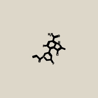 C=CC(=O)N1CC(c2c(F)cc(C(N)=O)c3[nH]c(C)c(Cl)c23)=CC(F)C1